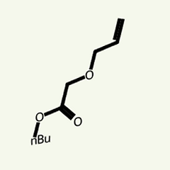 C=CCOCC(=O)OCCCC